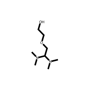 CN(C)C(COCCO)N(C)C